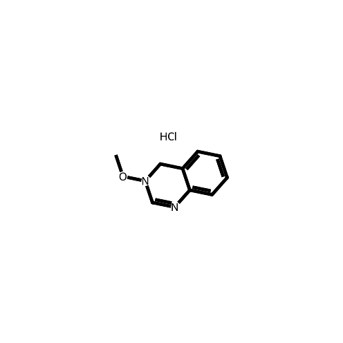 CON1C=Nc2ccccc2C1.Cl